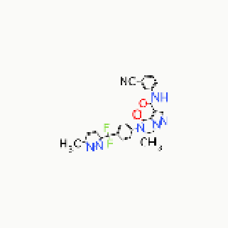 Cc1ccc(C(F)(F)c2ccc(N3C(=O)c4c(C(=O)Nc5cccc(C#N)c5)cnn4CC3C)cc2)nn1